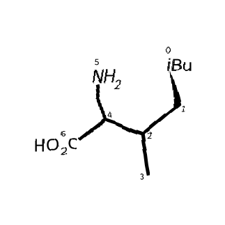 CC[C@H](C)CC(C)C(N)C(=O)O